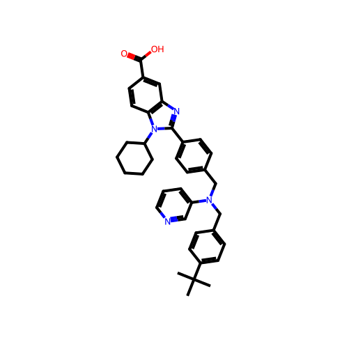 CC(C)(C)c1ccc(CN(Cc2ccc(-c3nc4cc(C(=O)O)ccc4n3C3CCCCC3)cc2)c2cccnc2)cc1